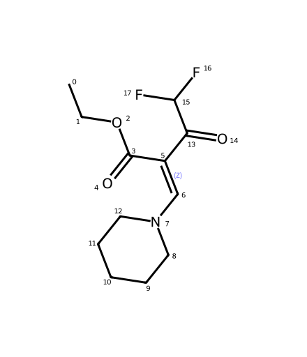 CCOC(=O)/C(=C\N1CCCCC1)C(=O)C(F)F